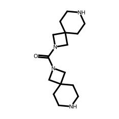 O=C(N1CC2(CCNCC2)C1)N1CC2(CCNCC2)C1